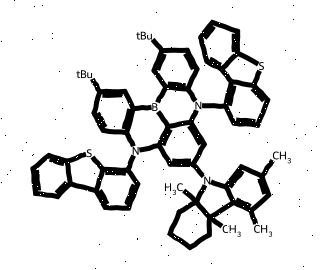 Cc1cc(C)c2c(c1)N(c1cc3c4c(c1)N(c1cccc5sc6ccccc6c15)c1ccc(C(C)(C)C)cc1B4c1cc(C(C)(C)C)ccc1N3c1cccc3c1sc1ccccc13)C1(C)CCCCC21C